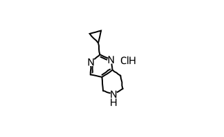 Cl.c1nc(C2CC2)nc2c1CNCC2